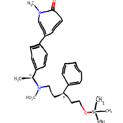 C[C@@H](c1ccc(-c2ccc(=O)n(C)c2)cc1)N(CC[C@H](CCO[Si](C)(C)C(C)(C)C)c1ccccc1)C(=O)O